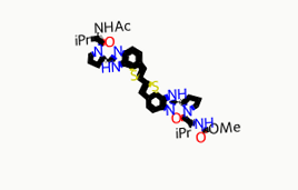 COC(=O)N[C@H](C(=O)N1CCC[C@H]1c1nc2c([nH]1)C1SC(c3cc4ccc5nc([C@@H]6CCCN6C(=O)[C@@H](NC(C)=O)C(C)C)[nH]c5c4s3)=CC1C=C2)C(C)C